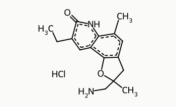 CCc1cc2c3c(cc(C)c2[nH]c1=O)CC(C)(CN)O3.Cl